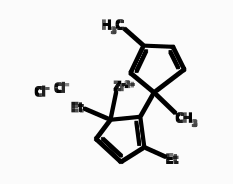 CCC1=C(C2(C)C=CC(C)=C2)[C]([Zr+2])(CC)C=C1.[Cl-].[Cl-]